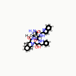 CC(C)(C)NC(=O)C1C[C@@H]2CCCC[C@@H]2CN1CC(O)C(Cc1ccccc1)NC(=O)[C@H](CC(N)=O)NCc1ccc2ccccc2n1